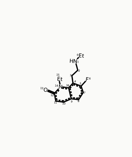 CCNCCc1c(F)ccc2ccc(=O)n(CC)c12